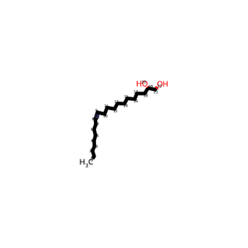 CCCCCCCC/C=C\CCCCCCCC[CH]C(O)CO